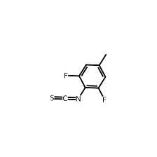 Cc1cc(F)c(N=C=S)c(F)c1